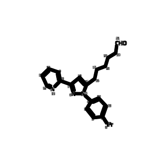 CC(C)c1ccc(-n2nc(-c3ccccn3)cc2CCCCCC=O)cc1